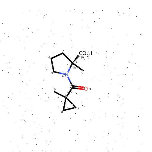 CC1(C(=O)N2CCC[C@@]2(C)C(=O)O)CC1